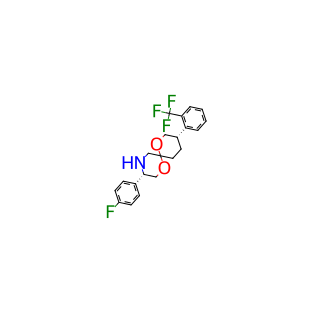 Fc1ccc([C@H]2COC3(CC[C@@H](c4ccccc4C(F)(F)F)CO3)CN2)cc1